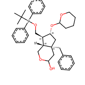 CC(C)(C)[Si](OC[C@@H]1[C@H]2COC(O)C[C@]2(Cc2ccccc2)C[C@H]1OC1CCCCO1)(c1ccccc1)c1ccccc1